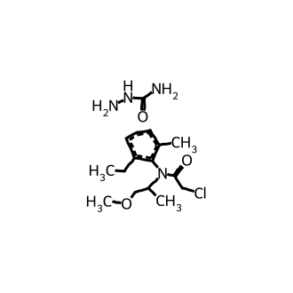 CCc1cccc(C)c1N(C(=O)CCl)C(C)COC.NNC(N)=O